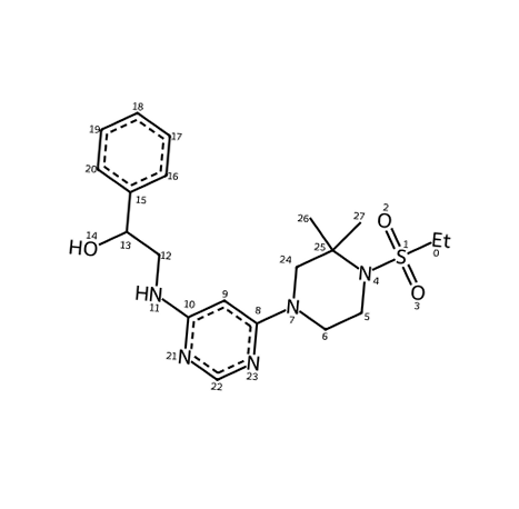 CCS(=O)(=O)N1CCN(c2cc(NCC(O)c3ccccc3)ncn2)CC1(C)C